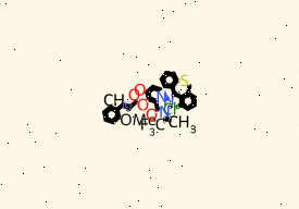 COc1cccc(C)c1/C=C/C(=O)Oc1c2n(ccc1=O)N([C@@H]1c3ccccc3SCc3cccc(Cl)c31)CN([C@H](C)C(F)(F)F)C2=O